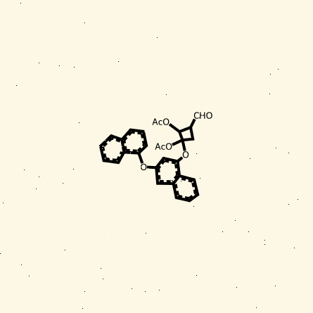 CC(=O)OC1C(C=O)CC1(OC(C)=O)Oc1cc(Oc2cccc3ccccc23)cc2ccccc12